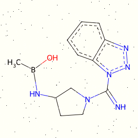 CB(O)NC1CCN(C(=N)n2nnc3ccccc32)C1